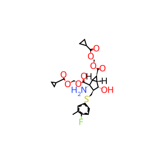 Cc1cc(SC[C@@H]2[C@@H](O)[C@H]3[C@H](C(=O)OCOC(=O)C4CC4)[C@H]3[C@]2(N)C(=O)OCOC(=O)C2CC2)ccc1F